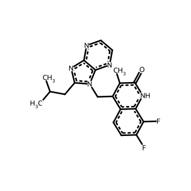 Cc1c(Cn2c(CC(C)C)nc3nccnc32)c2ccc(F)c(F)c2[nH]c1=O